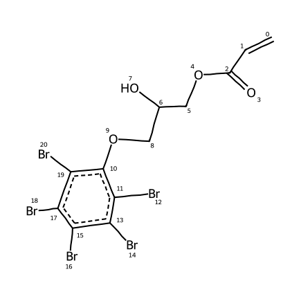 C=CC(=O)OCC(O)COc1c(Br)c(Br)c(Br)c(Br)c1Br